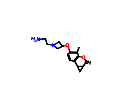 Cc1c(OC2CN(CCN)C2)ccc2c1OBC1CC21